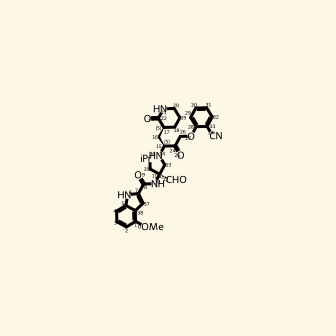 COc1cccc2[nH]c(C(=O)N[C@](C=O)(CN[C@@H](C[C@@H]3CCCNC3=O)C(=O)COc3ccccc3C#N)CC(C)C)cc12